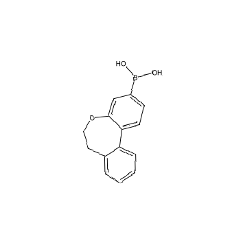 OB(O)c1ccc2c(c1)OCCc1ccccc1-2